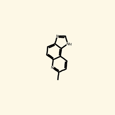 Cc1ccc2c(ccc3nc[nH]c32)n1